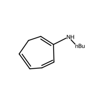 CCCCNC1=CCC=CC=C1